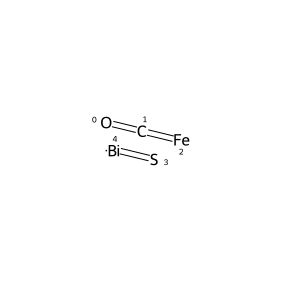 O=[C]=[Fe].[S]=[Bi]